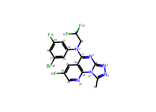 Cc1nnc2nc(N(CC(F)F)c3cc(F)cc(Br)c3)c3cc(F)cnc3n12